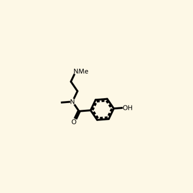 CNCCN(C)C(=O)c1ccc(O)cc1